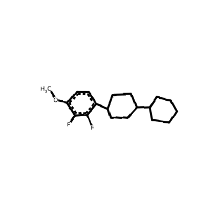 COc1ccc(C2CCC(C3CCCCC3)CC2)c(F)c1F